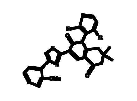 CCc1cccc(CC)c1-n1c2c(cc(-c3nc(-c4ccccc4OC)cs3)c1=O)C(=O)CC(C)(C)C2